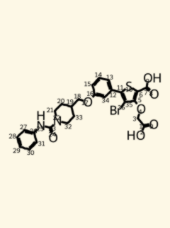 O=C(O)COc1c(C(=O)O)sc(-c2cccc(OCC3CCN(C(=O)Nc4ccccc4)CC3)c2)c1Br